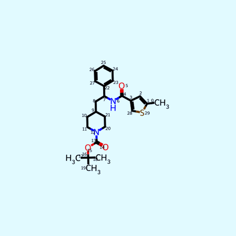 Cc1cc(C(=O)NC(CC2CCN(C(=O)OC(C)(C)C)CC2)c2ccccc2)cs1